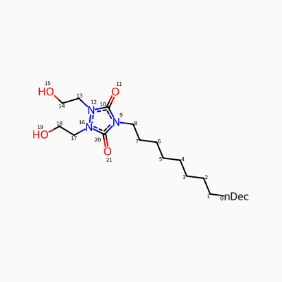 CCCCCCCCCCCCCCCCCCn1c(=O)n(CCO)n(CCO)c1=O